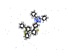 c1ccc(-c2nc(-c3ccccc3)nc(-c3ccc4c(c3)sc3cccc(-c5ccc(-c6ccccc6)c6sc7ccccc7c56)c34)n2)cc1